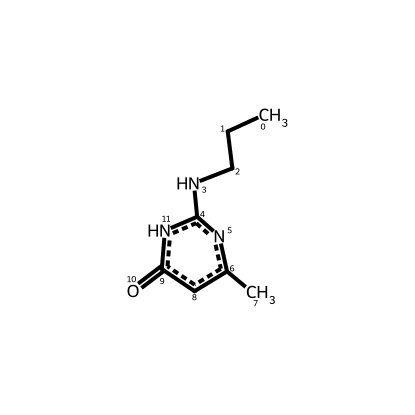 CCCNc1nc(C)cc(=O)[nH]1